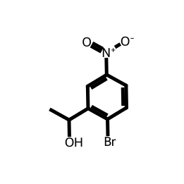 CC(O)c1cc([N+](=O)[O-])ccc1Br